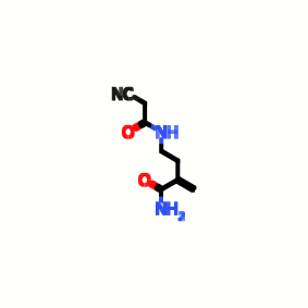 C=C(CCNC(=O)CC#N)C(N)=O